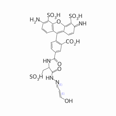 N=c1ccc2c(-c3ccc(C(=O)NC(CS(=O)(=O)O)C(=O)N/N=C/C=C/O)cc3C(=O)O)c3ccc(N)c(S(=O)(=O)O)c3oc-2c1S(=O)(=O)O